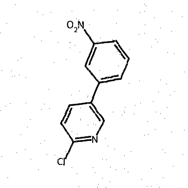 O=[N+]([O-])c1cccc(-c2ccc(Cl)nc2)c1